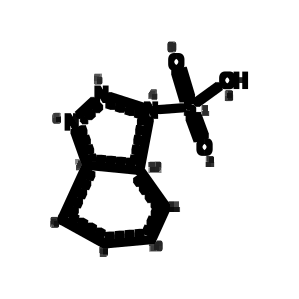 O=S(=O)(O)n1nnc2ccccc21